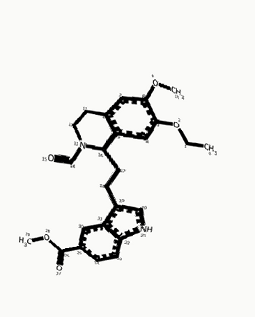 CCOc1cc2c(cc1OC)CCN(C=O)C2CCc1c[nH]c2ccc(C(=O)OC)cc12